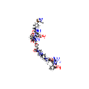 Cc1ncsc1-c1ccc([C@H](C)NC(=O)[C@@H]2C[C@@H](O)CN2C(=O)[C@@H](NC(=O)CCOCCC(=O)N2CCN(c3ccc(N4CCCC(Oc5cc(-c6ccccc6O)nnc5N)C4)cc3)CC2)C(C)(C)C)cc1